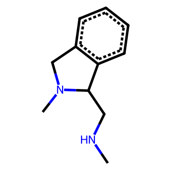 CNCC1c2ccccc2CN1C